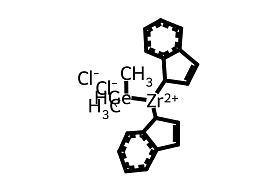 [CH3][GeH]([CH3])[Zr+2]([CH]1C=Cc2ccccc21)[CH]1C=Cc2ccccc21.[Cl-].[Cl-]